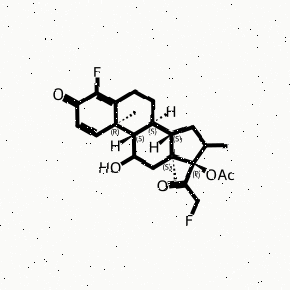 CC(=O)O[C@]1(C(=O)CF)C(C)C[C@H]2[C@@H]3CCC4=C(F)C(=O)C=C[C@]4(C)[C@H]3C(O)C[C@@]21C